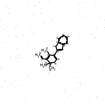 C=CC1=C(C)C(C2=Cc3ccccc3C2)=CCC1(C)N